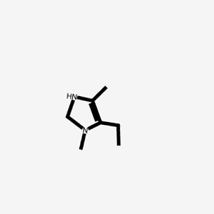 CCC1=C(C)NCN1C